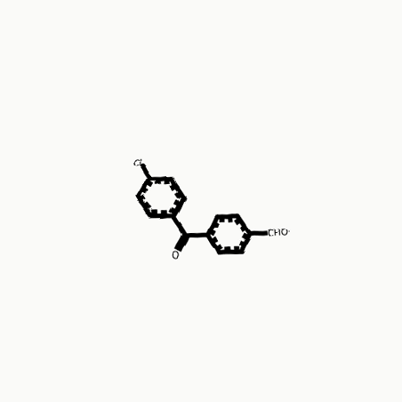 O=[C]c1ccc(C(=O)c2ccc(Cl)cc2)cc1